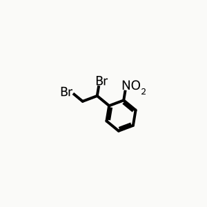 O=[N+]([O-])c1ccccc1C(Br)CBr